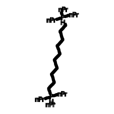 CCC[PH](CCC)(CCC)CCCCCCCCCC[PH](CCC)(CCC)CCC